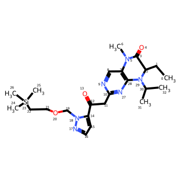 CCC1C(=O)N(C)c2cnc(CC(=O)c3ccnn3COCC[Si](C)(C)C)nc2N1C(C)C